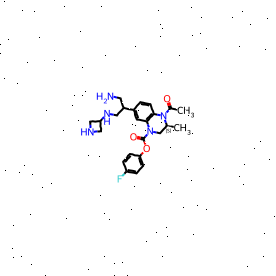 CC(=O)N1c2ccc(C(CN)CNC3CNC3)cc2N(C(=O)Oc2ccc(F)cc2)C[C@@H]1C